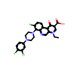 CCn1cc(C(=O)O)c(=O)c2c3ccc(F)c(N4CCN(c5ccc(F)c(Cl)c5)CC4)c3ncc21